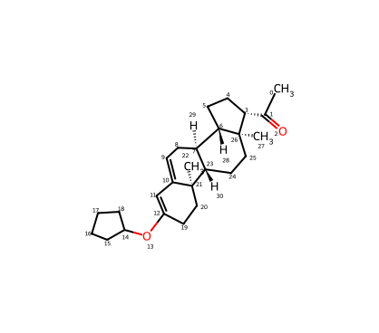 CC(=O)[C@H]1CC[C@H]2[C@@H]3CC=C4C=C(OC5CCCC5)CC[C@]4(C)[C@H]3CC[C@]12C